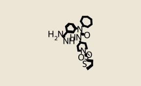 N=C(N)c1cccc(N(C(=O)NC2CCN(S(=O)(=O)c3cccs3)CC2)C2CCCCCC2)c1